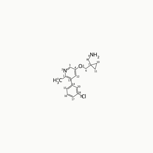 Cc1ncc(OCC2(CN)CC2)cc1-c1cccc(Cl)c1